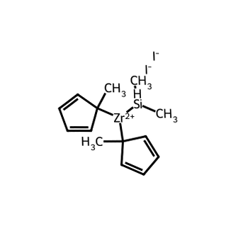 C[SiH](C)[Zr+2]([C]1(C)C=CC=C1)[C]1(C)C=CC=C1.[I-].[I-]